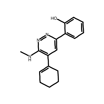 CNc1nnc(-c2ccccc2O)cc1C1=CCCCC1